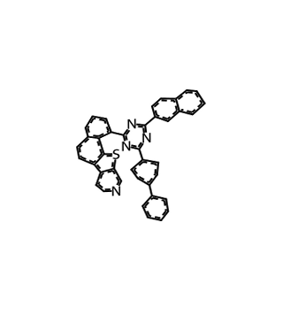 c1ccc(-c2ccc(-c3nc(-c4ccc5ccccc5c4)nc(-c4cccc5ccc6c7ccncc7sc6c45)n3)cc2)cc1